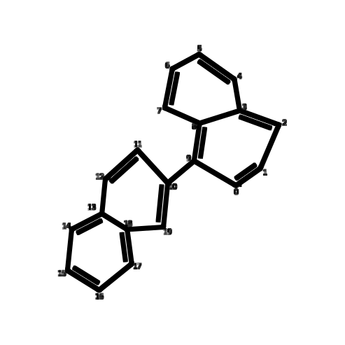 [c]1ccc2ccccc2c1-c1c[c]c2ccccc2c1